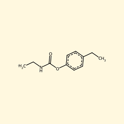 [CH2]CNC(=O)Oc1ccc(CC)cc1